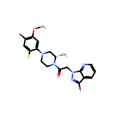 COc1cc(N2CCN(C(=O)Cn3nc(I)c4cccnc43)[C@@H](C)C2)c(F)cc1I